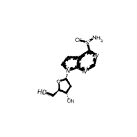 N[S+]([O-])c1ncnc2c1ccn2[C@@H]1C[C@H](O)[C@@H](CO)O1